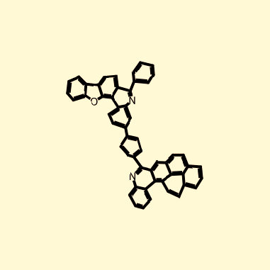 c1ccc(-c2nc3cc(-c4ccc(-c5nc6ccccc6c6c5cc5ccc7cccc8ccc6c5c78)cc4)ccc3c3c2ccc2c4ccccc4oc23)cc1